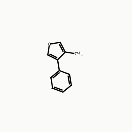 Cc1cocc1-c1c[c]ccc1